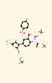 COC(=O)c1c(N(C(=O)OC(C)(C)C)C(=O)OC(C)(C)C)ccc(-c2c(CO[Si](C)(C)C(C)(C)C)oc([Si](C)(C)C)c2F)c1OS(=O)(=O)c1ccc(C)cc1